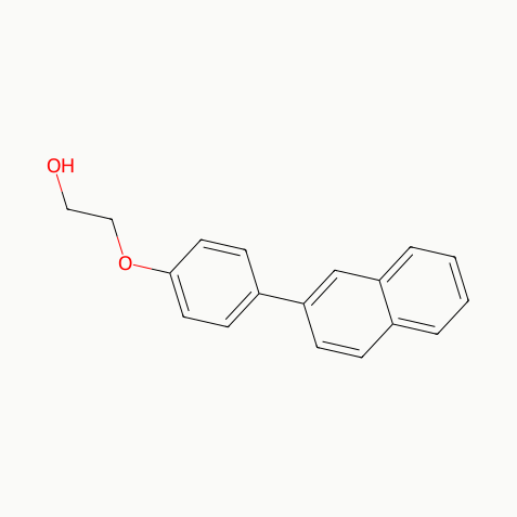 OCCOc1ccc(-c2ccc3ccccc3c2)cc1